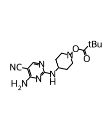 CC(C)(C)C(=O)ON1CCC(Nc2ncc(C#N)c(N)n2)CC1